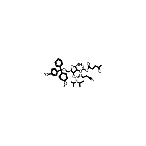 B[C@@H]1O[C@H](COC(c2ccccc2)(c2ccc(OC)cc2)c2ccc(OC)cc2)C(OP(OCCC#N)N(C(C)C)C(C)C)C1OCOC(=O)CCC(C)=O